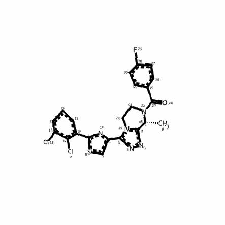 C[C@@H]1c2nnc(-c3csc(-c4cccc(Cl)c4Cl)n3)n2CCN1C(=O)c1ccc(F)cc1